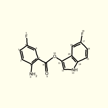 Nc1ccc(F)cc1C(=O)Oc1c[nH]c2ccc(F)cc12